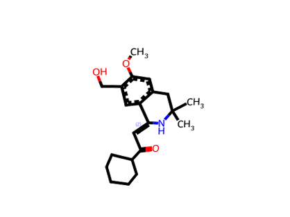 COc1cc2c(cc1CO)/C(=C/C(=O)C1CCCCC1)NC(C)(C)C2